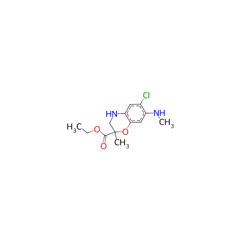 CCOC(=O)C1(C)CNc2cc(Cl)c(NC)cc2O1